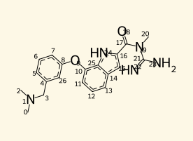 CN(C)Cc1cccc(Oc2cccc3cc(C(=O)N(C)C(=N)N)[nH]c23)c1